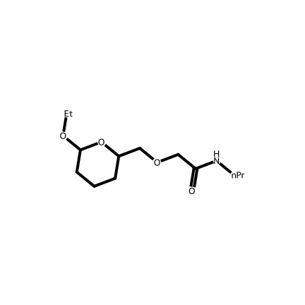 CCCNC(=O)COCC1CCCC(OCC)O1